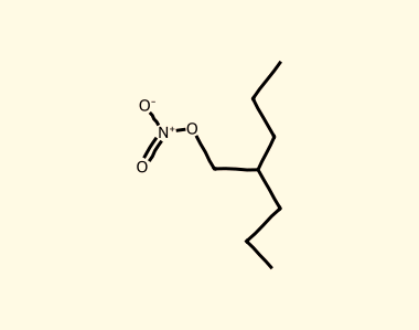 CCCC(CCC)CO[N+](=O)[O-]